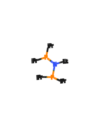 CCN(P(C(C)C)C(C)C)P(C(C)C)C(C)C